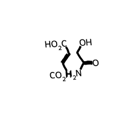 NC(=O)CO.O=C(O)/C=C/C(=O)O